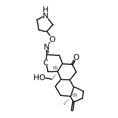 C=C1CCC2C3CC(=O)C4CC(=NOC5CCNC5)CC[C@]4(CO)C3CC[C@]12C